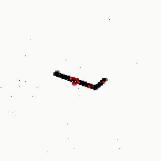 CCCCCCCC/C=C\CCCCCCCCCCCCOC(=O)OCCCCCCCCCCCC(C)C